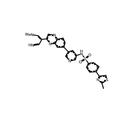 CN/C=C(\C=N)c1cnc2ccc(-c3cncc(NS(=O)(=O)c4ccc(-c5csc(C)n5)cc4)c3)cc2n1